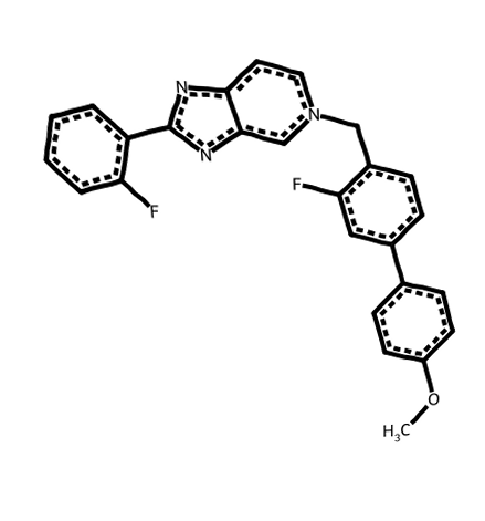 COc1ccc(-c2ccc(Cn3ccc4nc(-c5ccccc5F)nc-4c3)c(F)c2)cc1